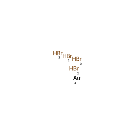 Br.Br.Br.Br.[Au]